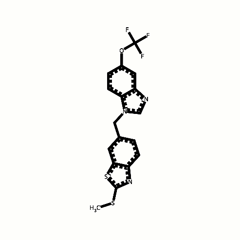 CSc1nc2ccc(Cn3cnc4cc(OC(F)(F)F)ccc43)cc2s1